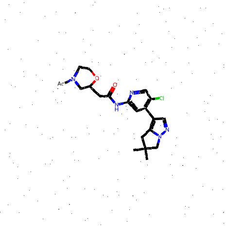 CC(=O)N1CCOC(CC(=O)Nc2cc(-c3cnn4c3CC(C)(C)C4)c(Cl)cn2)C1